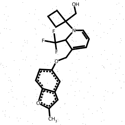 Cc1cc2cc(OCC3=CC=CN(C4(CO)CCC4)C3C(F)(F)F)ccc2o1